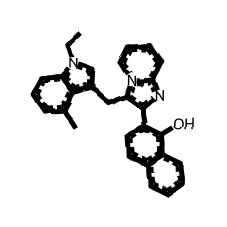 CCn1cc(Cc2c(-c3ccc4ccccc4c3O)nc3ccccn23)c2c(C)cccc21